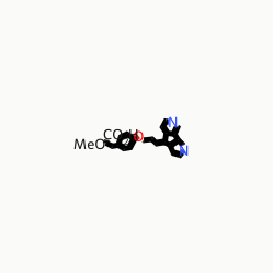 COC(Cc1ccc(OCCC=C2c3ccncc3-c3cnccc32)cc1)C(=O)O